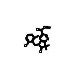 COC(=O)c1cnc2c(c1)N(Cc1c(F)cccc1Cl)C(=O)C2(C)C